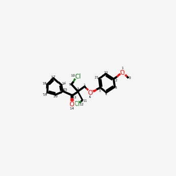 COc1ccc(OCC(CCl)(CCl)C(=O)c2ccccc2)cc1